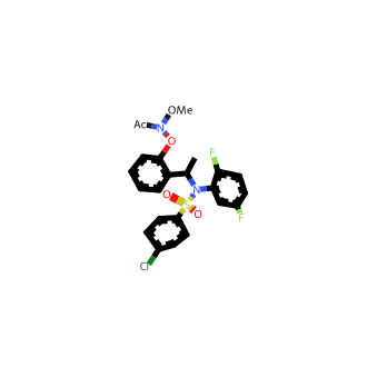 CON(Oc1ccccc1C(C)N(c1cc(F)ccc1F)S(=O)(=O)c1ccc(Cl)cc1)C(C)=O